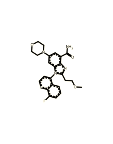 COCCc1nc2c(C(N)=O)cc(N3CCOCC3)cc2n1-c1ccnc2c(F)cccc12